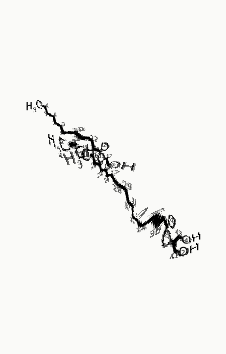 C=CC.CCCCCCCCCCCC(=O)OCCO.CCCCCCCCCCCCCCCCCC(=O)OC(CO)CO